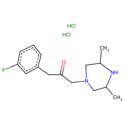 CC1CN(CC(=O)Cc2cccc(F)c2)CC(C)N1.Cl.Cl